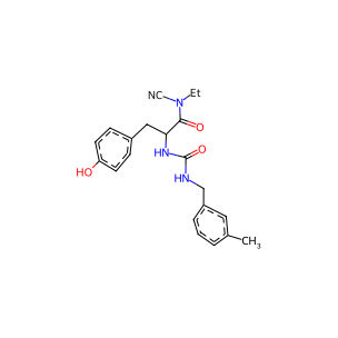 CCN(C#N)C(=O)C(Cc1ccc(O)cc1)NC(=O)NCc1cccc(C)c1